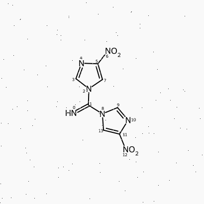 N=C(n1cnc([N+](=O)[O-])c1)n1cnc([N+](=O)[O-])c1